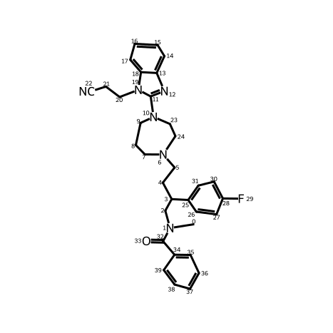 CN(CC(CCN1CCCN(c2nc3ccccc3n2CCC#N)CC1)c1ccc(F)cc1)C(=O)c1ccccc1